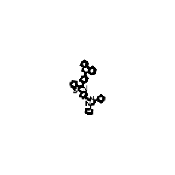 c1ccc(-c2cc(-c3ccccc3)nc(-c3ccc4c(c3)nc(-c3ccc(-c5cc6ccccc6c6ccccc56)cc3)c3c5ccccc5sc43)n2)cc1